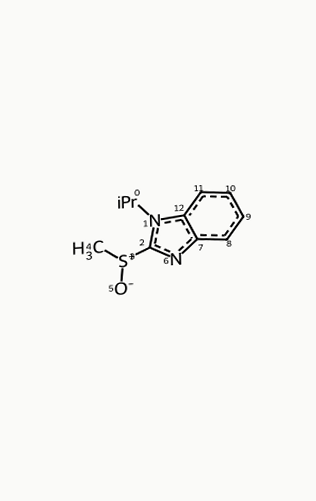 CC(C)n1c([S+](C)[O-])nc2ccccc21